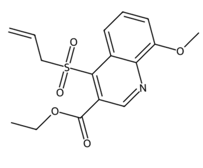 C=CCS(=O)(=O)c1c(C(=O)OCC)cnc2c(OC)cccc12